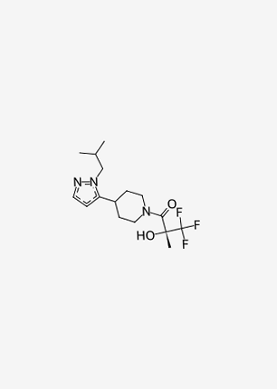 CC(C)Cn1nccc1C1CCN(C(=O)[C@@](C)(O)C(F)(F)F)CC1